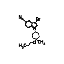 CCCOC1(C)CCC(n2cc(Br)c3cc(C#N)ccc32)CC1